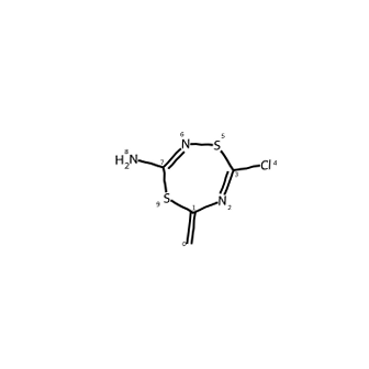 C=C1N=C(Cl)SN=C(N)S1